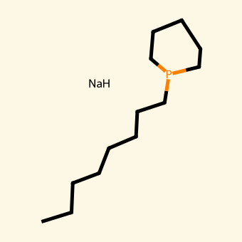 CCCCCCCCP1CCCCC1.[NaH]